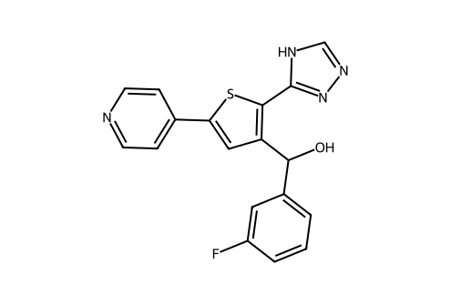 OC(c1cccc(F)c1)c1cc(-c2ccncc2)sc1-c1nnc[nH]1